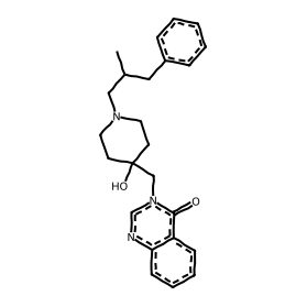 CC(Cc1ccccc1)CN1CCC(O)(Cn2cnc3ccccc3c2=O)CC1